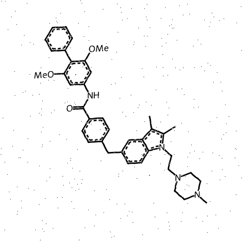 COc1cc(NC(=O)c2ccc(Cc3ccc4c(c3)c(C)c(C)n4CCN3CCN(C)CC3)cc2)cc(OC)c1-c1ccccc1